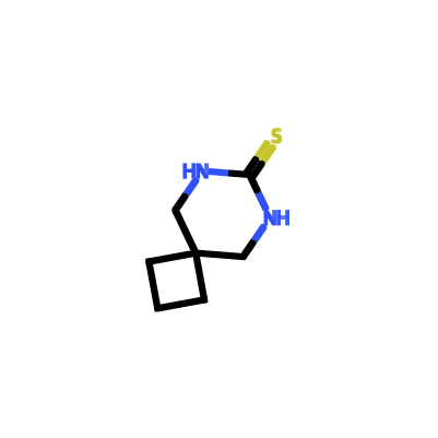 S=C1NCC2(CCC2)CN1